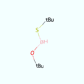 CC(C)(C)OBSC(C)(C)C